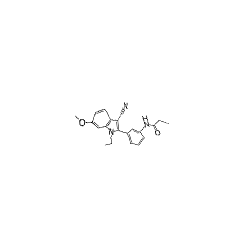 CCC(=O)Nc1cccc(-c2c(C#N)c3ccc(OC)cc3n2CC)c1